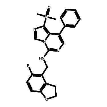 CP(C)(=O)c1ncn2c(NCc3c(F)ccc4c3CCO4)ncc(-c3ccccc3)c12